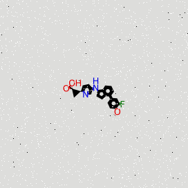 COc1ccc(-c2cccc3c2CC[C@H]3Nc2ccc([C@@H]3C[C@H]3C(=O)O)nc2)cc1F